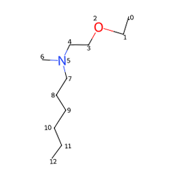 [CH2]COCCN(C)CCCCCC